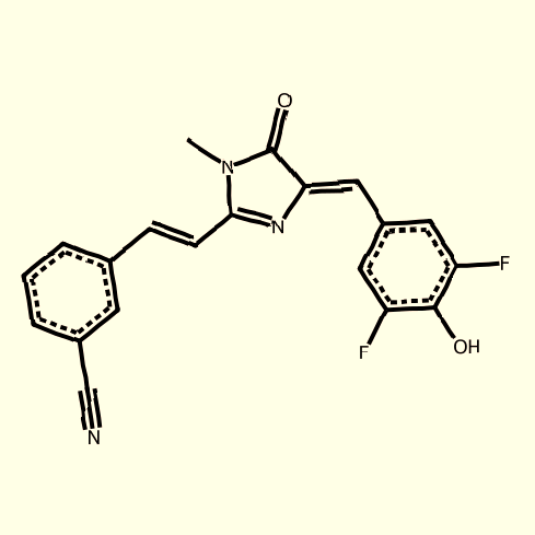 CN1C(=O)/C(=C/c2cc(F)c(O)c(F)c2)N=C1/C=C/c1cccc(C#N)c1